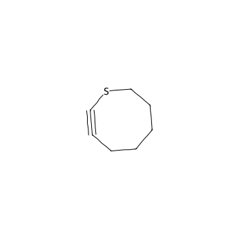 C1#CSCCCCC1